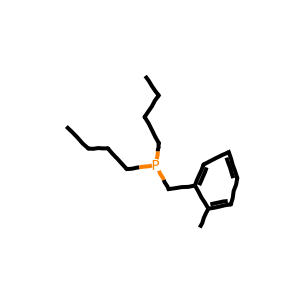 CCCCP(CCCC)Cc1ccccc1C